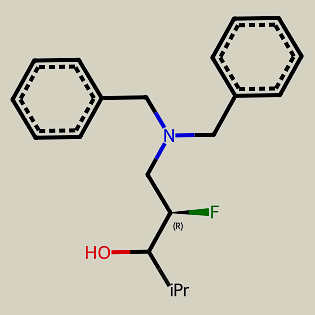 CC(C)C(O)[C@H](F)CN(Cc1ccccc1)Cc1ccccc1